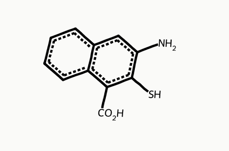 Nc1cc2ccccc2c(C(=O)O)c1S